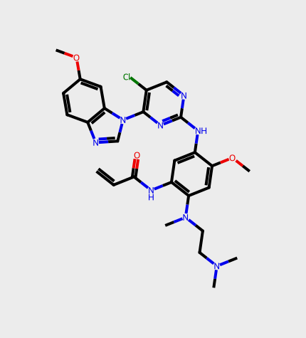 C=CC(=O)Nc1cc(Nc2ncc(Cl)c(-n3cnc4ccc(OC)cc43)n2)c(OC)cc1N(C)CCN(C)C